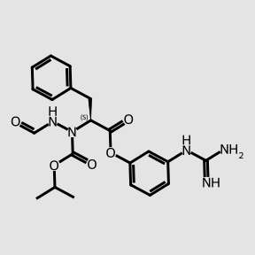 CC(C)OC(=O)N(NC=O)[C@@H](Cc1ccccc1)C(=O)Oc1cccc(NC(=N)N)c1